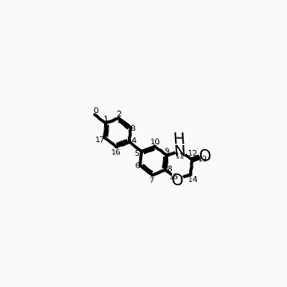 Cc1ccc(-c2ccc3c(c2)NC(=O)CO3)cc1